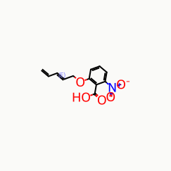 C=C/C=C/COc1cccc([N+](=O)[O-])c1C(=O)O